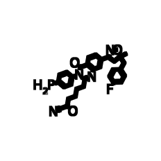 CC1(Cc2ccc(F)cc2)CC(c2ccc3c(=O)n(-c4ccc(P)cc4)c(CCCCC(=O)C#N)nc3c2)=NO1